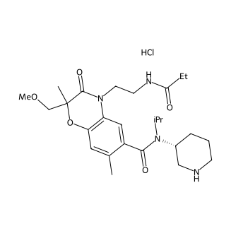 CCC(=O)NCCN1C(=O)C(C)(COC)Oc2cc(C)c(C(=O)N(C(C)C)[C@@H]3CCCNC3)cc21.Cl